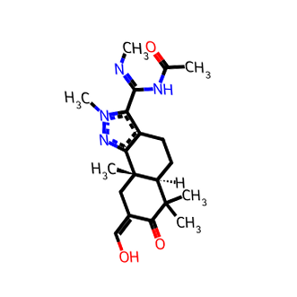 C/N=C(\NC(C)=O)c1c2c(nn1C)[C@@]1(C)C/C(=C/O)C(=O)C(C)(C)[C@@H]1CC2